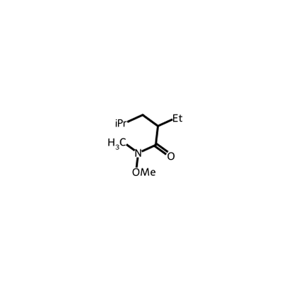 CCC(CC(C)C)C(=O)N(C)OC